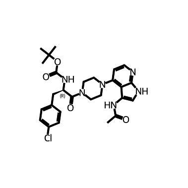 CC(=O)Nc1c[nH]c2nccc(N3CCN(C(=O)[C@@H](Cc4ccc(Cl)cc4)NC(=O)OC(C)(C)C)CC3)c12